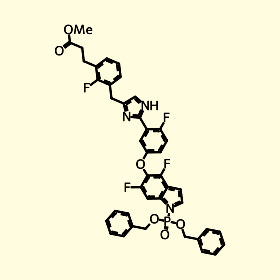 COC(=O)CCc1cccc(Cc2c[nH]c(-c3cc(Oc4c(F)cc5c(ccn5P(=O)(OCc5ccccc5)OCc5ccccc5)c4F)ccc3F)n2)c1F